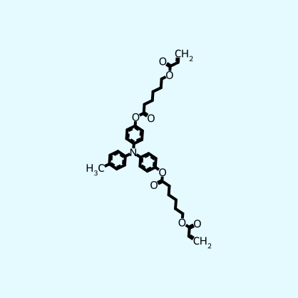 C=CC(=O)OCCCCCC(=O)Oc1ccc(N(c2ccc(C)cc2)c2ccc(OC(=O)CCCCCOC(=O)C=C)cc2)cc1